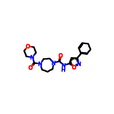 O=C(Nc1cc(C2=CCCC=C2)no1)N1CCCN(C(=O)N2CCOCC2)CC1